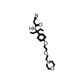 CCC(CC)(NC(=O)CC#N)c1ccc(OCCOCCN2CCOCC2)cc1